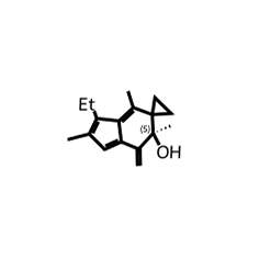 C=C1C2=CC(C)=C(CC)C2=C(C)C2(CC2)[C@@]1(C)O